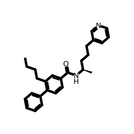 CCCCc1cc(C(=O)N[C@H](C)CCCc2cccnc2)ccc1-c1ccccc1